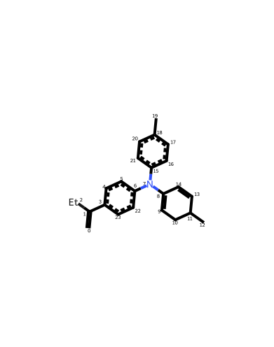 C=C(CC)c1ccc(N(C2=CCC(C)C=C2)c2ccc(C)cc2)cc1